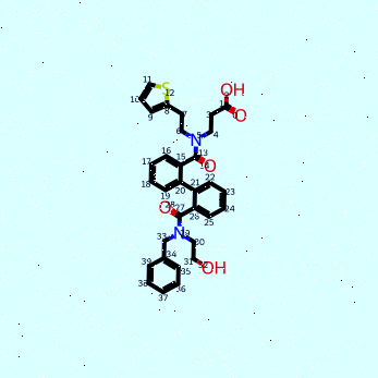 O=C(O)CCN(CCc1cccs1)C(=O)c1ccccc1-c1ccccc1C(=O)N(CCO)Cc1ccccc1